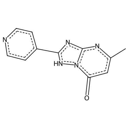 Cc1cc(=O)n2[nH]c(-c3ccncc3)nc2n1